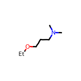 [CH2]COCCCN(C)C